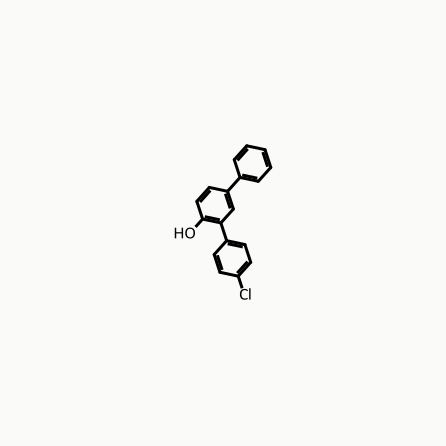 Oc1ccc(-c2ccccc2)cc1-c1ccc(Cl)cc1